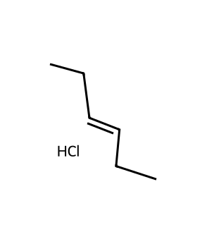 CCC=CCC.Cl